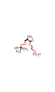 CCCC(C)(C)OOC=C(C)C(=O)OCCOC(=O)O